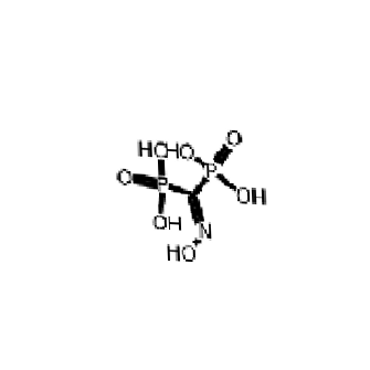 O=P(O)(O)C(=NO)P(=O)(O)O